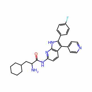 NC(CC1CCCCC1)C(=O)Nc1ccc2c(-c3ccncc3)c(-c3ccc(F)cc3)[nH]c2n1